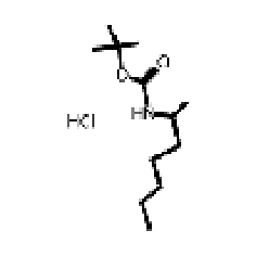 CCCCCC(C)NC(=O)OC(C)(C)C.Cl